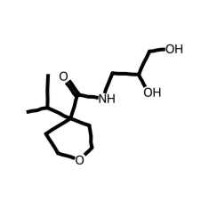 CC(C)C1(C(=O)NCC(O)CO)CCOCC1